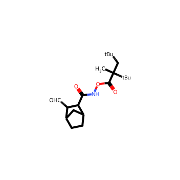 CC(C)(C)CC(C)(C(=O)ONC(=O)C1C2CCC(C2)C1C=O)C(C)(C)C